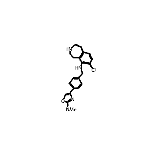 CNc1nc(-c2ccc(CNc3c(Cl)ccc4c3CCNCC4)cc2)co1